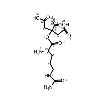 NC(=O)NCCC[C@H](N)C(=O)OC(CC(=O)O)(CC(=O)O)C(=O)O